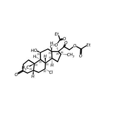 CCC(=O)OCC(=O)[C@@]1(OC(=O)CC)[C@H](C)C[C@H]2[C@H]3[C@H]([C@@H](O)C[C@@]21C)[C@@]1(C)CCC(=O)C[C@H]1C[C@H]3Cl